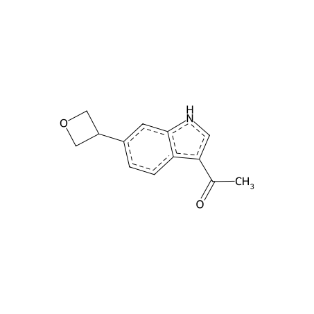 CC(=O)c1c[nH]c2cc(C3COC3)ccc12